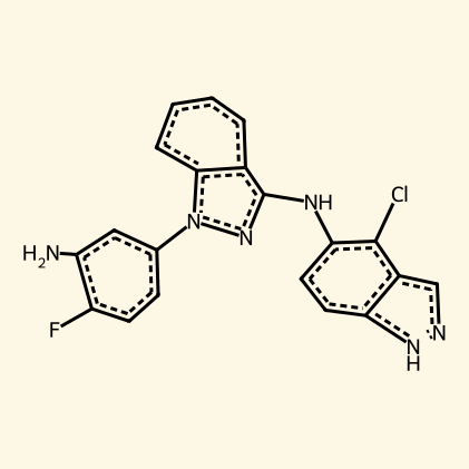 Nc1cc(-n2nc(Nc3ccc4[nH]ncc4c3Cl)c3ccccc32)ccc1F